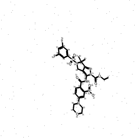 CCOC(=O)n1nc2c(c1NC(=O)c1ccc(N3CCOCC3)cc1[N+](=O)[O-])CN(S(=O)(=O)c1cc(F)cc(F)c1)C2(C)C